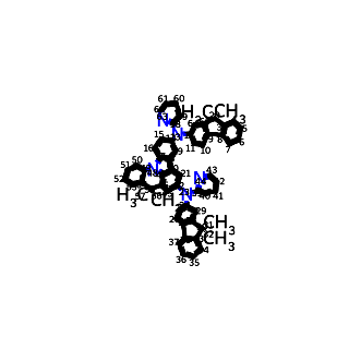 CC1(C)c2ccccc2-c2ccc(N(c3ccc4c(c3)c3cc(N(c5ccc6c(c5)C(C)(C)c5ccccc5-6)c5ccccn5)cc5c3n4-c3ccccc3C5(C)C)c3ccccn3)cc21